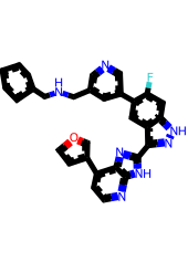 Fc1cc2[nH]nc(-c3nc4c(-c5ccoc5)ccnc4[nH]3)c2cc1-c1cncc(CNCc2ccccc2)c1